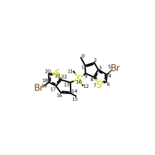 CC1=Cc2c(Br)csc2C1S(C)(C)C1C(C)=Cc2c(Br)csc21